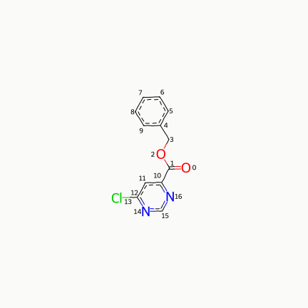 O=C(OCc1ccccc1)c1cc(Cl)ncn1